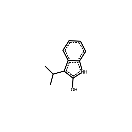 CC(C)c1c(O)[nH]c2ccccc12